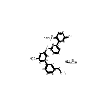 Cc1cc(Oc2cccc(-c3cc(F)ccc3C(=O)O)n2)cc(-c2cccc(CN)c2)c1.Cl.Cl